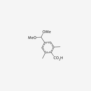 COC(OC)c1cc(C)c(C(=O)O)c(C)c1